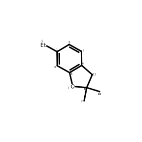 CCc1ccc2c(c1)OC(C)(C)C2